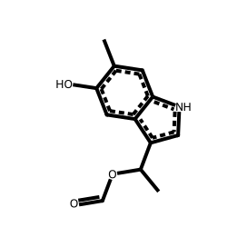 Cc1cc2[nH]cc(C(C)OC=O)c2cc1O